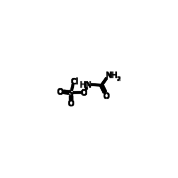 NC(=O)NOS(=O)(=O)Cl